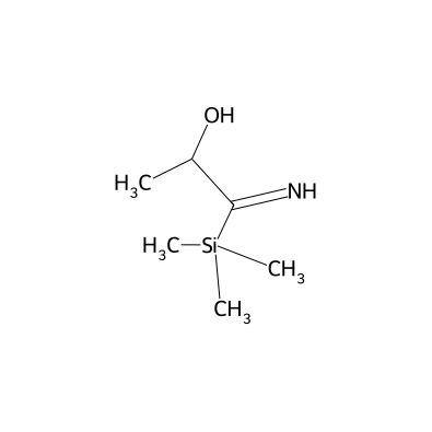 CC(O)C(=N)[Si](C)(C)C